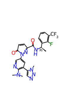 C[C@@H](NC(=O)c1ccc(=O)n(-c2cnc(N(C)C)c(-c3cnnn3C)c2)n1)c1cccc(C(F)(F)F)c1F